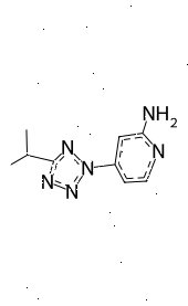 CC(C)c1nnn(-c2ccnc(N)c2)n1